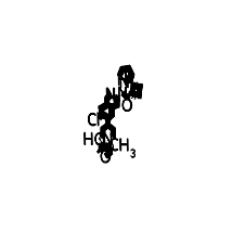 C[C@@]1(N2CCC(c3cc4cc(NC(=O)[C@H]5CC[C@@H]5c5ccccn5)ncc4cc3Cl)CC2)COC[C@@H]1O